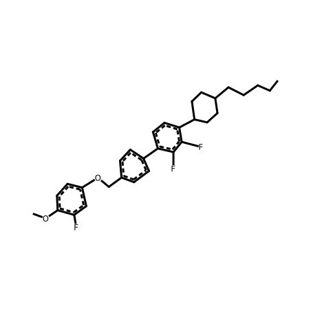 CCCCCC1CCC(c2ccc(-c3ccc(COc4ccc(OC)c(F)c4)cc3)c(F)c2F)CC1